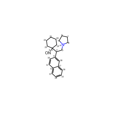 O=NC1(C(CN2CCCC2)c2ccc3ccccc3c2)CCCCC1